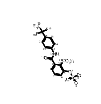 CCS(=O)(=O)Oc1cccc(C(=O)Nc2ccc(C(F)(F)C(F)(F)F)cc2)c1C(=O)O